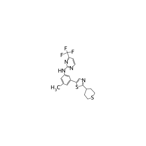 Cc1cc(Nc2nccc(C(F)(F)F)n2)cc(-c2cnc(C3CCSCC3)s2)c1